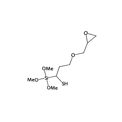 CO[Si](OC)(OC)C(S)CCOCC1CO1